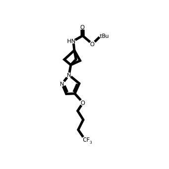 CC(C)(C)OC(=O)NC12CC(n3cc(OCCCC(F)(F)F)cn3)(C1)C2